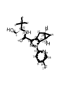 CC(C)(C)[C@@H](CO)NC(=O)c1nn(-c2ccc(F)cn2)c2c1C[C@H]1C[C@@H]21